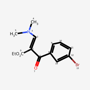 CCOC(=O)C(=CN(C)C)C(=O)c1cccc(Br)c1